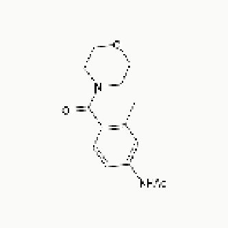 CC(=O)Nc1ccc(C(=O)N2CCOCC2)c(C)c1